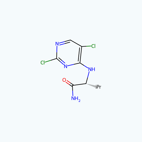 CC(C)[C@@H](Nc1nc(Cl)ncc1Cl)C(N)=O